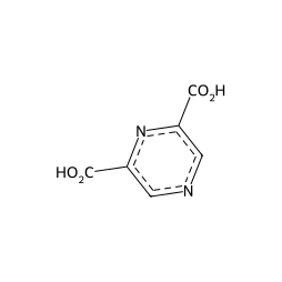 O=C(O)c1cncc(C(=O)O)n1